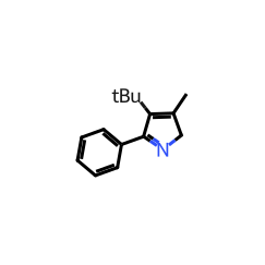 CC1=C(C(C)(C)C)C(c2ccccc2)=NC1